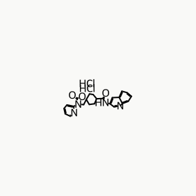 Cl.Cl.O=C(Nc1cnc2ccccc2c1)C1CCC2(CC1)CN(c1ccccn1)C(=O)O2